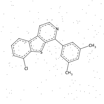 Cc1cc(C)cc(-c2nccc3c2sc2c(Cl)cccc23)c1